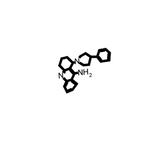 Nc1c2c(nc3ccccc13)CCCC2N1CCC(c2ccccc2)CC1